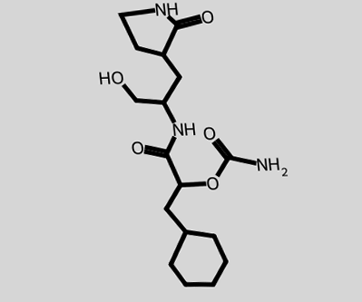 NC(=O)OC(CC1CCCCC1)C(=O)NC(CO)CC1CCNC1=O